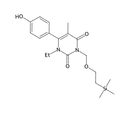 CCn1c(-c2ccc(O)cc2)c(C)c(=O)n(COCC[Si](C)(C)C)c1=O